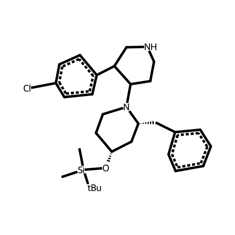 CC(C)(C)[Si](C)(C)O[C@@H]1CCN(C2CCNCC2c2ccc(Cl)cc2)[C@H](Cc2ccccc2)C1